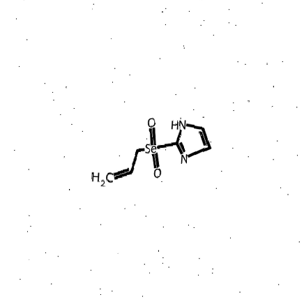 C=CC[Se](=O)(=O)c1ncc[nH]1